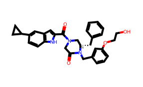 O=C(c1cc2cc(C3CC3)ccc2[nH]1)N1CC(=O)N(Cc2cccc(OCCO)c2)[C@@H](Cc2ccccc2)C1